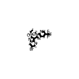 CCS(=O)(=O)c1nn2cc(Br)cnc2c1-c1nc2cc(C(F)(F)F)cnc2n1C